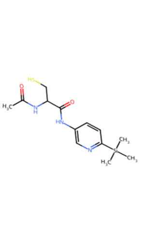 CC(=O)NC(CS)C(=O)Nc1ccc([Si](C)(C)C)nc1